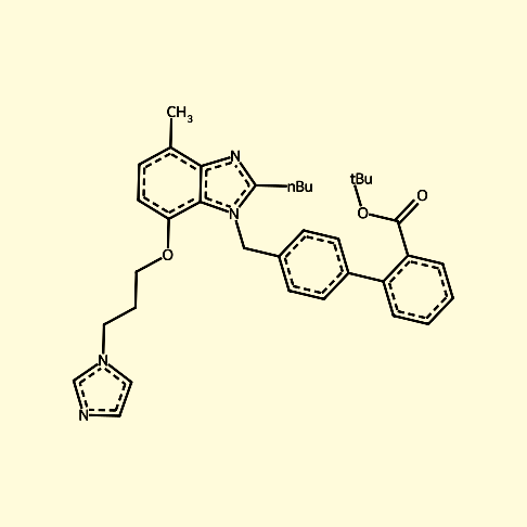 CCCCc1nc2c(C)ccc(OCCCn3ccnc3)c2n1Cc1ccc(-c2ccccc2C(=O)OC(C)(C)C)cc1